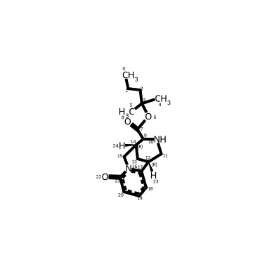 CCCC(C)(C)OC(=O)C1NC[C@H]2C[C@@H]1Cn1c2cccc1=O